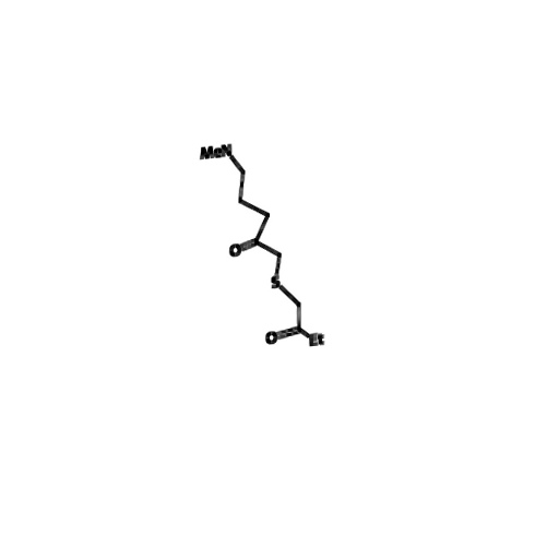 CCC(=O)CSCC(=O)CCCNC